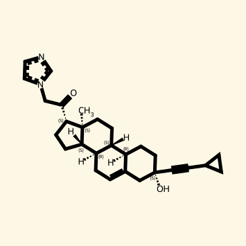 C[C@]12CC[C@H]3[C@@H](CC=C4C[C@](O)(C#CC5CC5)CC[C@@H]43)[C@@H]1CC[C@@H]2C(=O)Cn1ccnc1